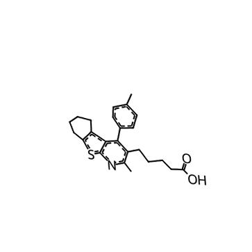 Cc1ccc(-c2c(CCCCC(=O)O)c(C)nc3sc4c(c23)CCCC4)cc1